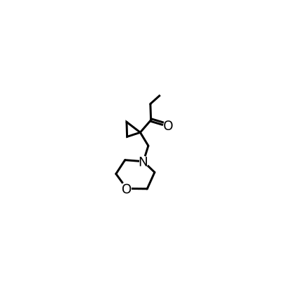 CCC(=O)C1(CN2CCOCC2)CC1